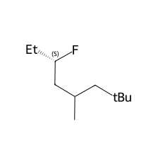 CC[C@H](F)CC(C)CC(C)(C)C